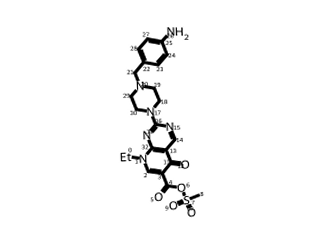 CCn1cc(C(=O)OS(C)(=O)=O)c(=O)c2cnc(N3CCN(Cc4ccc(N)cc4)CC3)nc21